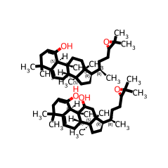 C[C@H](CCC1OC1(C)C)[C@H]1CC[C@@]2(C)[C@@H]3CC=C4[C@@H](C(O)=CCC4(C)C)[C@]3(C)C(O)C[C@]12C.C[C@H](CCC1OC1(C)C)[C@H]1CC[C@@]2(C)[C@@H]3CC=C4[C@@H](C(O)=CCC4(C)C)[C@]3(C)CC[C@]12C